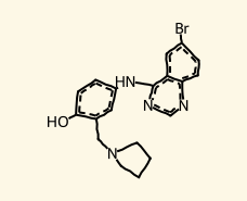 Oc1ccc(Nc2ncnc3ccc(Br)cc23)cc1CN1CCCC1